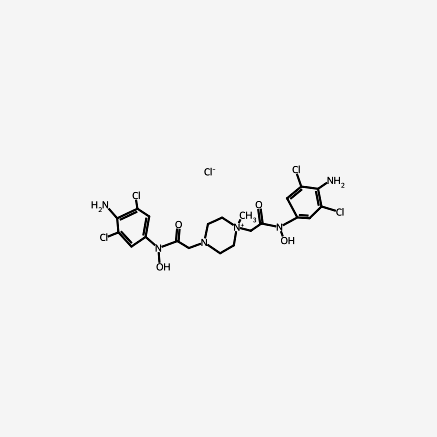 C[N+]1(CC(=O)N(O)c2cc(Cl)c(N)c(Cl)c2)CCN(CC(=O)N(O)c2cc(Cl)c(N)c(Cl)c2)CC1.[Cl-]